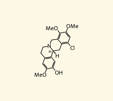 COc1cc2c(cc1O)[C@H]1Cc3c(Cl)cc(OC)c(OC)c3CN1CC2